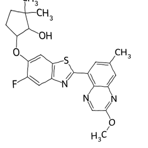 COc1cnc2c(-c3nc4cc(F)c(OC5CCC(C)(C)C5O)cc4s3)cc(C)cc2n1